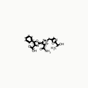 CC(O)c1ncc(Cn2nc(C(N)=O)c(-c3nc(C(=O)O)c(-c4ccccc4)o3)n2)o1